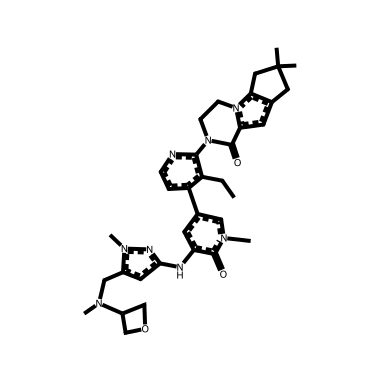 CCc1c(-c2cc(Nc3cc(CN(C)C4COC4)n(C)n3)c(=O)n(C)c2)ccnc1N1CCn2c(cc3c2CC(C)(C)C3)C1=O